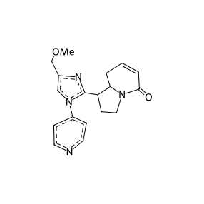 COCc1cn(-c2ccncc2)c(C2CCN3C(=O)C=CCC23)n1